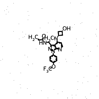 C=CC(=O)NCc1nn(-c2ccc(OC(F)(F)F)cc2)c2nccc(N(C)[C@H]3C[C@H](O)C3)c12